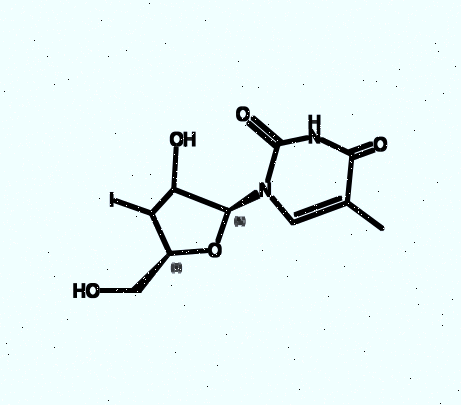 Cc1cn([C@H]2O[C@@H](CO)C(I)C2O)c(=O)[nH]c1=O